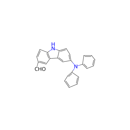 O=Cc1ccc2[nH]c3ccc(N(c4ccccc4)c4ccccc4)cc3c2c1